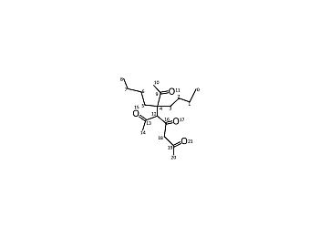 CCCCC(CCCC)(C(C)=O)C(C(C)=O)C(=O)CC(C)=O